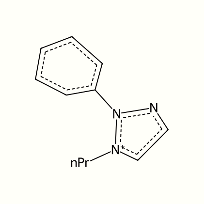 CCC[n+]1ccnn1-c1ccccc1